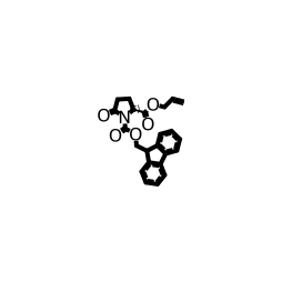 C=CCOC(=O)[C@@H]1CCC(=O)N1C(=O)OCC1c2ccccc2-c2ccccc21